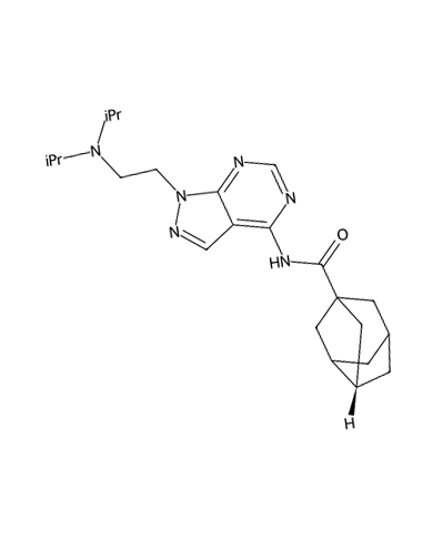 CC(C)N(CCn1ncc2c(NC(=O)C34CC5CC(C3)[C@@H](C5)C4)ncnc21)C(C)C